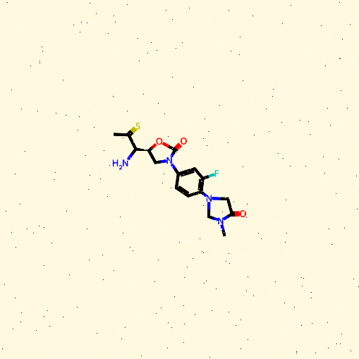 CC(=S)C(N)[C@@H]1CN(c2ccc(N3CC(=O)N(C)C3)c(F)c2)C(=O)O1